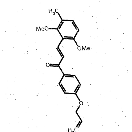 C=CCOc1ccc(C(=O)/C=C/c2c(OC)ccc(C)c2OC)cc1